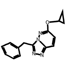 c1ccc(Cc2nnc3ccc(OC4CC4)nn23)cc1